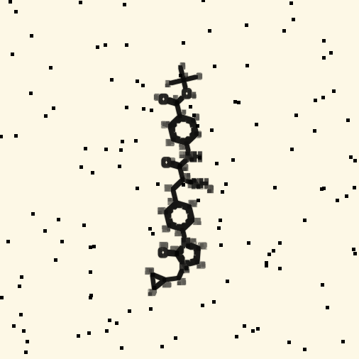 CC(C)(C)OC(=O)c1ccc(NC(=O)[C@@H](N)Cc2ccc(-n3ccn(CC4CC4)c3=O)cc2)cc1